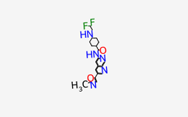 Cc1ncc(-c2cnc3cnc(NC(=O)C4CCC(NCC(F)F)CC4)cc3c2)o1